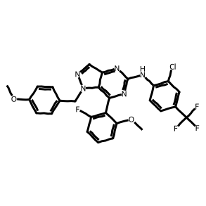 COc1ccc(Cn2ncc3nc(Nc4ccc(C(F)(F)F)cc4Cl)nc(-c4c(F)cccc4OC)c32)cc1